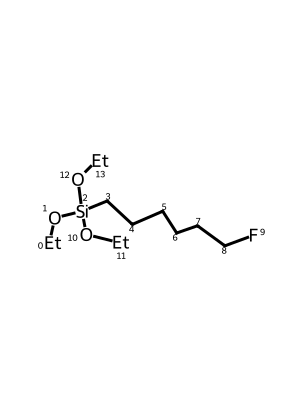 CCO[Si](CCCCCCF)(OCC)OCC